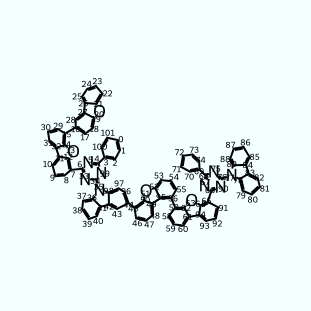 c1ccc(-c2nc(-c3cccc4c3oc3c(-c5ccc6oc7ccccc7c6c5)cccc34)nc(-n3c4ccccc4c4cc(-c5cccc6c5oc5cccc(-c7cccc8c7oc7c(-c9nc(-c%10ccccc%10)nc(-n%10c%11ccccc%11c%11ccccc%11%10)n9)cccc78)c56)ccc43)n2)cc1